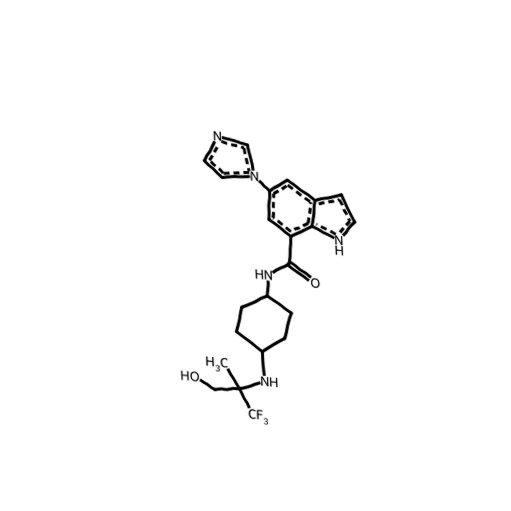 CC(CO)(NC1CCC(NC(=O)c2cc(-n3ccnc3)cc3cc[nH]c23)CC1)C(F)(F)F